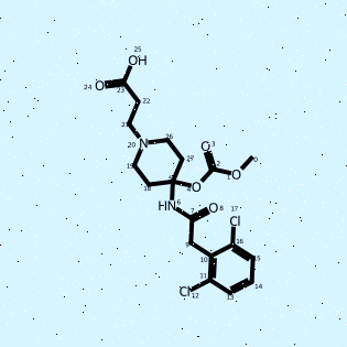 COC(=O)OC1(NC(=O)Cc2c(Cl)cccc2Cl)CCN(CCC(=O)O)CC1